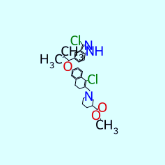 CCOC(=O)C1CCCN(CC2=C(Cl)c3ccc(O[C@H](c4ccc5[nH]nc(Cl)c5c4)C(C)C)cc3CC2)C1